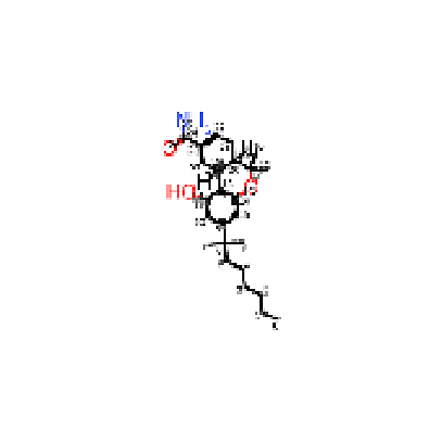 CCCCCCC(C)(C)c1cc(O)c2c(c1)OC(C)(C)[C@@H]1CC=C(C(N)=O)C[C@@H]21